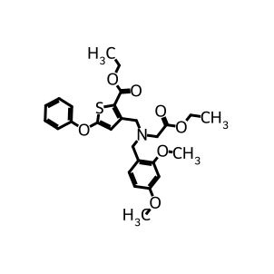 CCOC(=O)CN(Cc1ccc(OC)cc1OC)Cc1cc(Oc2ccccc2)sc1C(=O)OCC